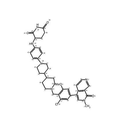 COc1cc(-c2cn(C)c(=O)c3cnccc23)cc(Cl)c1CN1CCC(C2CCN(c3ccc(NC4CCC(=O)NC4=O)cc3)CC2)CC1